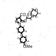 CCOC(=O)c1cnn(-c2ccc(-c3ccc(OC)cc3)cc2)c1OCCN1CCOCC1